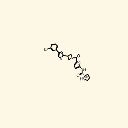 O=C(Nc1ccc(C(=O)N2CC(c3ncc(-c4cccc(Cl)c4)s3)C2)s1)[C@@H]1CCCN1